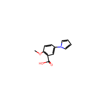 COc1ccc(-n2cccc2)cc1C(=O)O